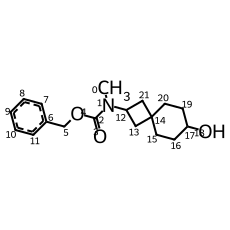 CN(C(=O)OCc1ccccc1)C1CC2(CCC(O)CC2)C1